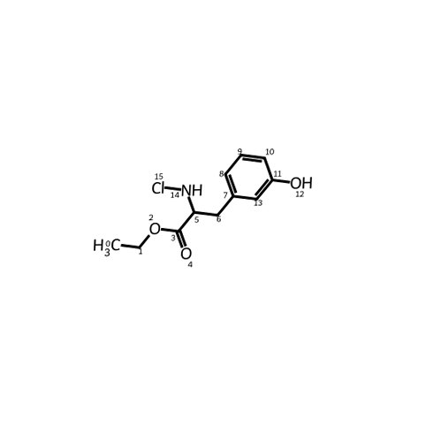 CCOC(=O)C(Cc1cccc(O)c1)NCl